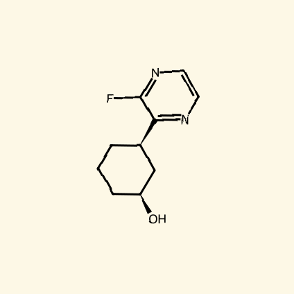 O[C@H]1CCC[C@@H](c2nccnc2F)C1